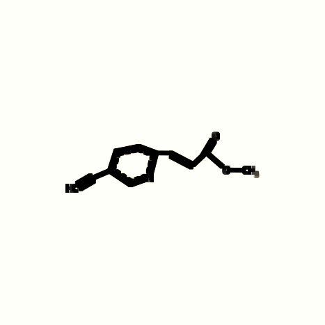 C#Cc1ccc(C=CC(=O)OC)nc1